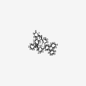 c1ccc(-c2nc3ccccc3c3cc4c5ccccc5n(-c5cccc(-c6ccc7c8ccccc8c8ccccc8c7c6)c5)c4cc23)cc1